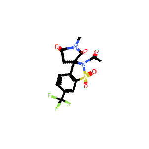 CC(=O)N1C2(CC(=O)N(C)C2=O)c2ccc(C(F)(F)F)cc2S1(=O)=O